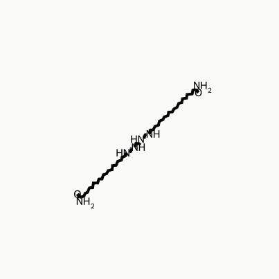 NC(=O)CCCCCCCCCCCCCCCCCCCNCCNCCNCCNCCCCCCCCCCCCCCCCCCCC(N)=O